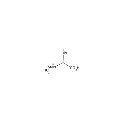 CNC(C(=O)O)C(C)C.Cl